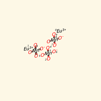 [Eu+3].[Eu+3].[O]=[Mn](=[O])([O-])[O-].[O]=[Mn](=[O])([O-])[O-].[O]=[Mn](=[O])([O-])[O-]